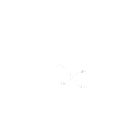 CCCC[Si](O)([SiH3])CCCC